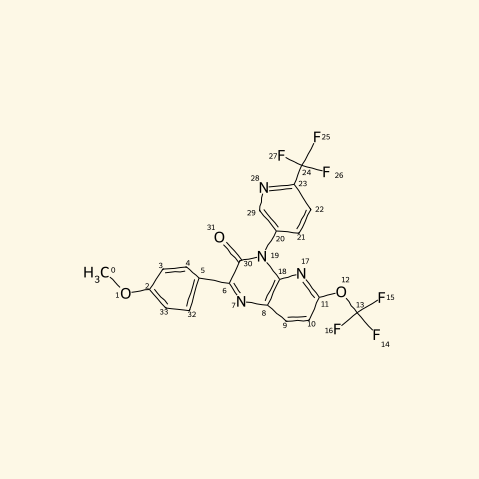 COc1ccc(-c2nc3ccc(OC(F)(F)F)nc3n(-c3ccc(C(F)(F)F)nc3)c2=O)cc1